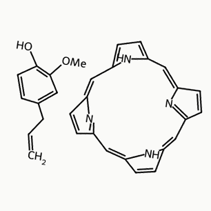 C1=Cc2cc3ccc(cc4nc(cc5ccc(cc1n2)[nH]5)C=C4)[nH]3.C=CCc1ccc(O)c(OC)c1